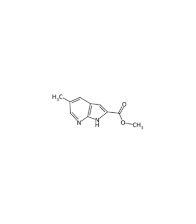 COC(=O)c1cc2cc(C)cnc2[nH]1